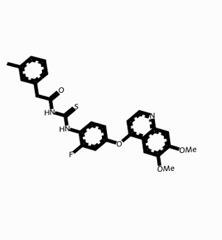 COc1cc2nccc(Oc3ccc(NC(=S)NC(=O)Cc4cccc(C)c4)c(F)c3)c2cc1OC